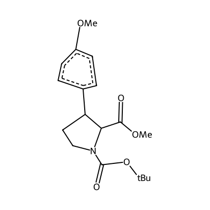 COC(=O)C1C(c2ccc(OC)cc2)CCN1C(=O)OC(C)(C)C